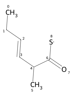 CC/C=C/C(C)C(=O)[S]